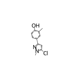 Cc1cc(-c2cc(Cl)n(C)n2)ccc1O